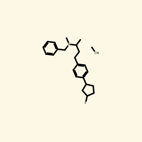 CC#N.CC(CCc1ccc(C2CCC(F)C2)cc1)N(C)Cc1ccccc1